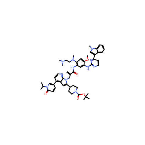 C=C(Cn1c(C2CCN(C(=O)OC(C)(C)C)CC2)cc2c(-c3ccc(=O)n(C(C)C)c3)ccnc21)C(=O)Nc1cc(Nc2nccc(-c3cn(C)c4ccccc34)n2)c(OC)cc1N(C)CCN(C)C